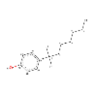 CCCCCCC(C)(C)c1ccc([O])cc1